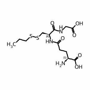 CCCSSC[C@H](NC(=O)CC[C@H](N)C(=O)O)C(=O)NCC(=O)O